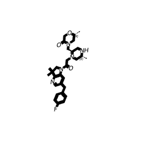 C[C@@H]1CN(CC(=O)N2CC(C)(C)c3ncc(Cc4ccc(F)cc4)cc32)[C@@H](CN2C[C@@H](C)OCC2=O)CN1